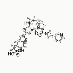 C[C@]12C[C@H]3CC[C@@H](C(=O)N4CC(c5cccnc5)C4)N3C(=O)[C@@H](NC(=O)c3cc4cc(C(F)(F)P(=O)(O)O)ccc4s3)C[C@H]1C2